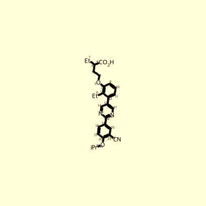 CCc1c(OCCC(CC)C(=O)O)cccc1-c1cnc(-c2ccc(OC(C)C)c(C#N)c2)nc1